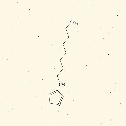 C1=CCN=C1.CCCCCCCCC